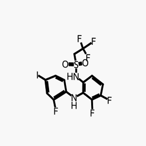 O=S(=O)(CC(F)(F)F)Nc1ccc(F)c(F)c1Nc1ccc(I)cc1F